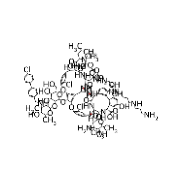 CC(C)C[C@H](C(=O)N[C@H]1C(=O)N[C@@H](CC(N)=O)C(=O)N[C@H]2C(=O)N[C@H]3C(=O)N[C@H](C(=O)N[C@H](C(=O)O)c4cc(O)ccc4-c4cc3ccc4C(O)O)[C@H](O[C@H]3C[C@](C)(N)[C@@H](O)[C@H](C)O3)c3ccc(c(Cl)c3)Oc3cc2cc(c3O[C@@H]2O[C@H](CO)[C@@H](O)[C@H](O)[C@H]2O[C@H]2C[C@](C)(NCc3ccc(-c4ccc(Cl)cc4)cc3)[C@@H](O)[C@H](C)O2)Oc2ccc(cc2Cl)[C@H]1O)N(C)C(=O)OCOC(=O)CNCCCNCCCCNCCCN